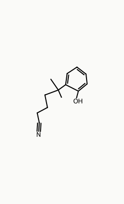 CC(C)(CCCC#N)c1ccccc1O